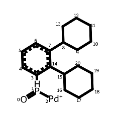 O=[PH]([Pd+])c1cccc(C2CCCCC2)c1C1CCCCC1